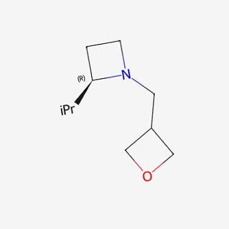 CC(C)[C@H]1CCN1CC1COC1